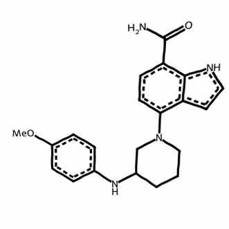 COc1ccc(NC2CCCN(c3ccc(C(N)=O)c4[nH]ccc34)C2)cc1